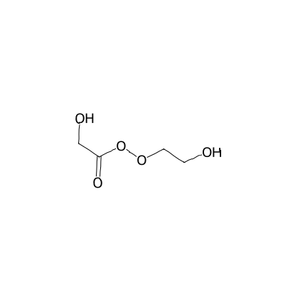 O=C(CO)OOCCO